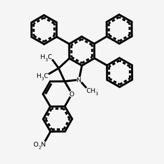 CN1c2c(-c3ccccc3)c(-c3ccccc3)cc(-c3ccccc3)c2C(C)(C)C12C=Cc1cc([N+](=O)[O-])ccc1O2